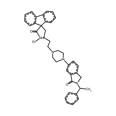 CCNC(=O)C1(CCCCN2CCN(c3ccc4c(c3)C(=O)N(C(C)c3ccccc3)C4)CC2)c2ccccc2-c2ccccc21